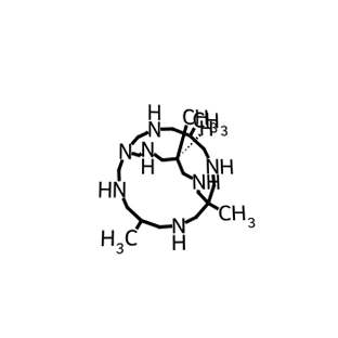 CC1CNCN2CNCC(C)CNCC(C)(CNC1)CNC[C@H](C)CNC2